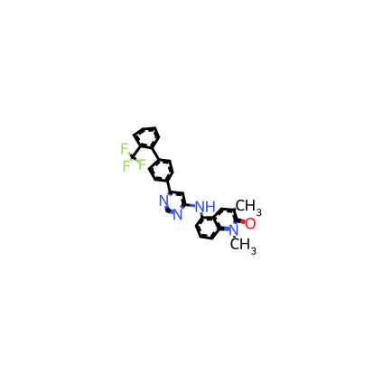 Cc1cc2c(Nc3cc(-c4ccc(-c5ccccc5C(F)(F)F)cc4)ncn3)cccc2n(C)c1=O